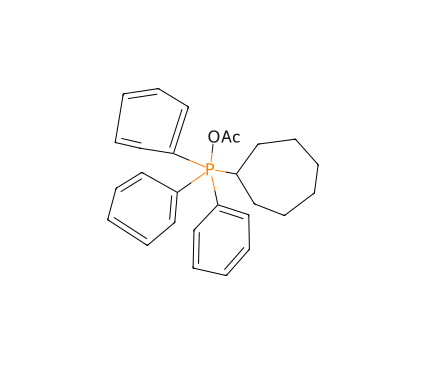 CC(=O)OP(c1ccccc1)(c1ccccc1)(c1ccccc1)C1CCCCCC1